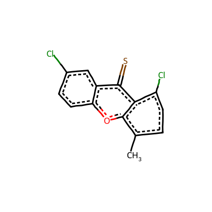 Cc1ccc(Cl)c2c(=S)c3cc(Cl)ccc3oc12